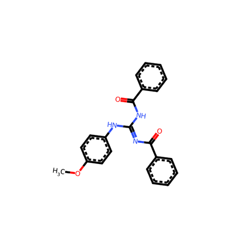 COc1ccc(NC(=NC(=O)c2ccccc2)NC(=O)c2ccccc2)cc1